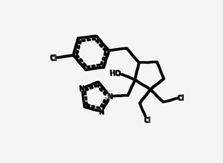 OC1(Cn2cncn2)C(Cc2ccc(Cl)cc2)CCC1(CCl)CCl